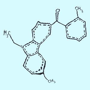 CCn1c2ccc(C)cc2c2cc(C(=O)c3ccccc3C)ccc21